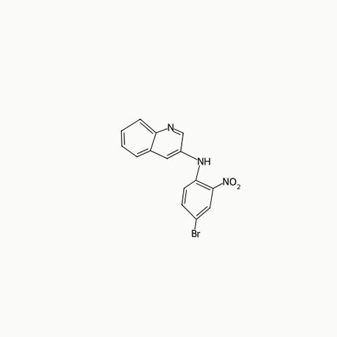 O=[N+]([O-])c1cc(Br)ccc1Nc1cnc2ccccc2c1